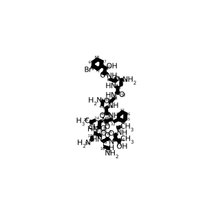 CCNC(=O)C(NC(=O)[C@H](CCN)NC(=O)[C@H](CCN)NC(=O)[C@H](CC(C)C)NC(=O)[C@@H](Cc1ccccc1)NC(=O)[C@H](CCN)NC(=O)CNC(=O)[C@H](CCN)NC(=O)CNC(=O)C(O)c1cccc(Br)c1)C(C)O